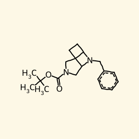 CC(C)(C)OC(=O)N1CC2N(Cc3ccccc3)C3CCC32C1